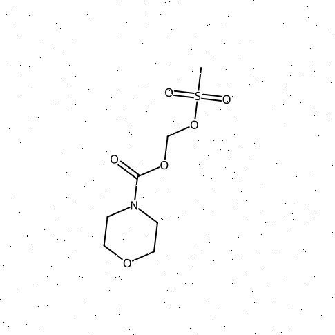 CS(=O)(=O)OCOC(=O)N1CCOCC1